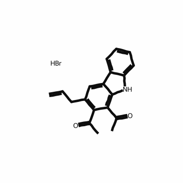 Br.C=CCc1cc2c([nH]c3ccccc32)c(C(C)=O)c1C(C)=O